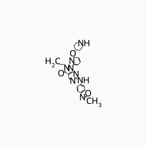 C=CCn1c(=O)c2cnc(Nc3ccc4nc(C)oc4c3)nc2n1-c1cccc(OC2CCNCC2)n1